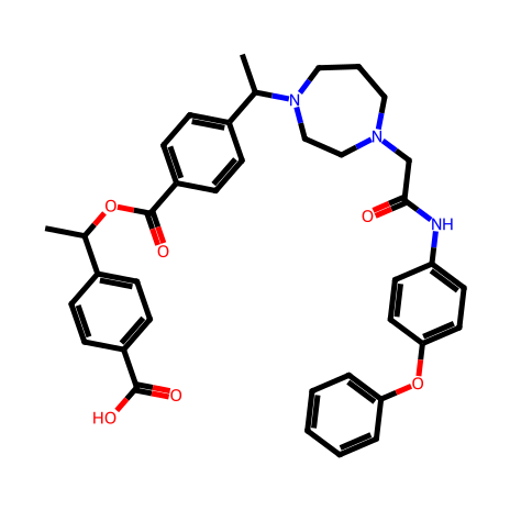 CC(OC(=O)c1ccc(C(C)N2CCCN(CC(=O)Nc3ccc(Oc4ccccc4)cc3)CC2)cc1)c1ccc(C(=O)O)cc1